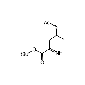 CC(=O)SC(C)CC(=N)C(=O)OC(C)(C)C